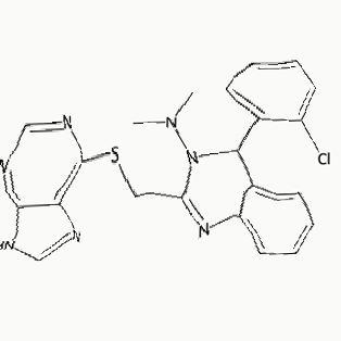 CN(C)N1C(CSc2ncnc3[nH]cnc23)=Nc2ccccc2C1c1ccccc1Cl